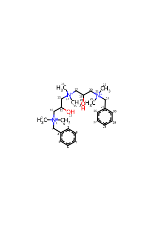 C[N+](C)(Cc1ccccc1)CC(O)C[N+](C)(C)CC(O)C[N+](C)(C)Cc1ccccc1